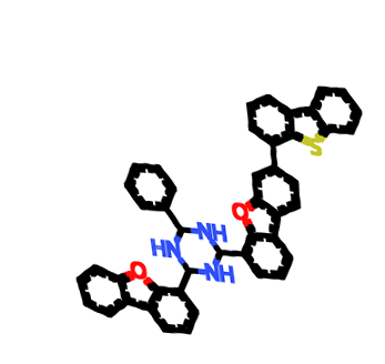 c1ccc(C2NC(c3cccc4c3oc3ccccc34)NC(c3cccc4c3oc3cc(-c5cccc6c5sc5ccccc56)ccc34)N2)cc1